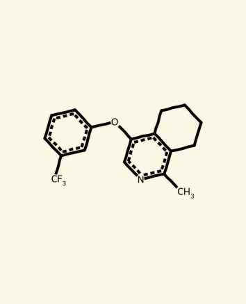 Cc1ncc(Oc2cccc(C(F)(F)F)c2)c2c1CCCC2